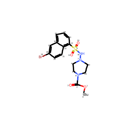 CC(C)(C)OC(=O)N1CCN(NS(=O)(=O)c2cccc3cc(Br)ccc23)CC1